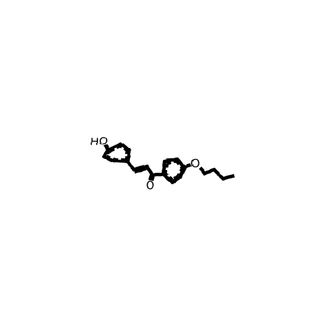 CCCCOc1ccc(C(=O)/C=C/c2ccc(O)cc2)cc1